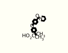 CC(C)(C(=O)O)c1ccc(Oc2ccc(C(=O)N3CCCCC3)cc2)cc1